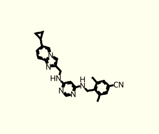 Cc1cc(C#N)cc(C)c1CNc1cc(NCc2cn3cc(C4CC4)ccc3n2)ncn1